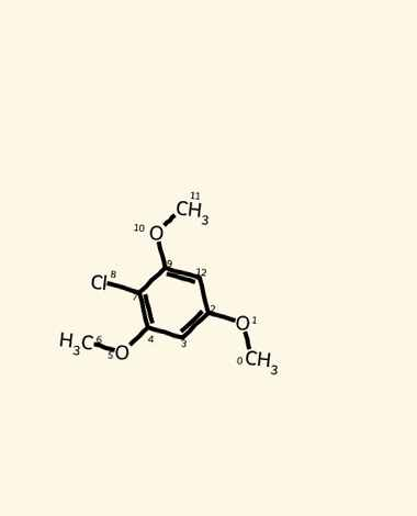 COc1cc(OC)c(Cl)c(OC)c1